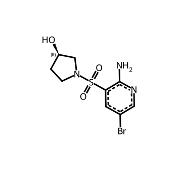 Nc1ncc(Br)cc1S(=O)(=O)N1CC[C@@H](O)C1